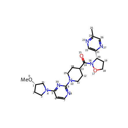 CO[C@H]1CCN(c2ccnc(N3CCC(C(=O)N4OCC[C@H]4c4cnc(C)cn4)CC3)n2)C1